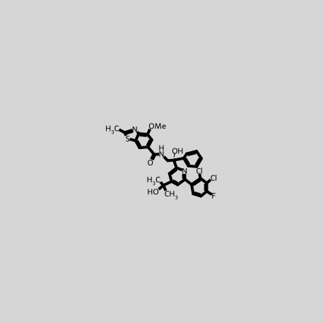 COc1cc(C(=O)NC[C@@](O)(c2ccccc2)c2cc(C(C)(C)O)cc(-c3ccc(F)c(Cl)c3Cl)n2)cc2sc(C)nc12